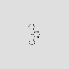 C1=CCCC(C2NCN=C(C3C=CC=CC3)N2)=C1